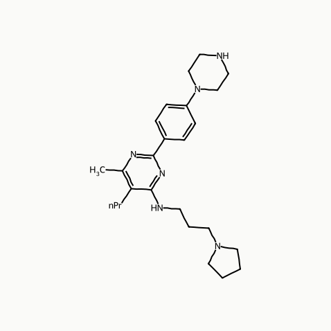 CCCc1c(C)nc(-c2ccc(N3CCNCC3)cc2)nc1NCCCN1CCCC1